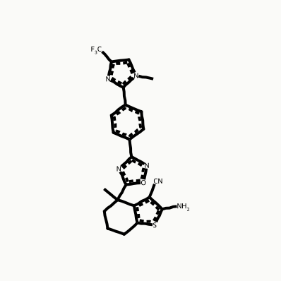 Cn1cc(C(F)(F)F)nc1-c1ccc(-c2noc(C3(C)CCCc4sc(N)c(C#N)c43)n2)cc1